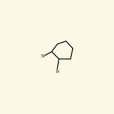 [Si]C1CCCCC1[Si]